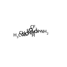 CC1(C)CCN(c2ccc3c(c2)Sc2cc(C(F)(F)F)cc(NC4CCN(CCN)CC4)c2N3)C1